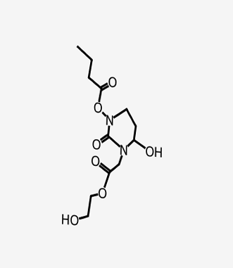 CCCC(=O)ON1CCC(O)N(CC(=O)OCCO)C1=O